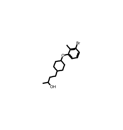 Cc1c(Br)cccc1OC1CCC(CCC(C)O)CC1